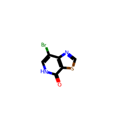 O=c1[nH]cc(Br)c2ncsc12